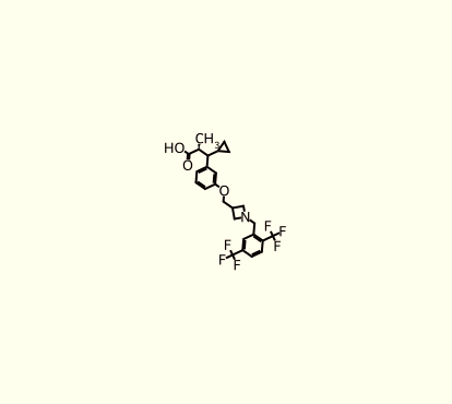 C[C@H](C(=O)O)C(c1cccc(OCC2CN(Cc3cc(C(F)(F)F)ccc3C(F)(F)F)C2)c1)C1CC1